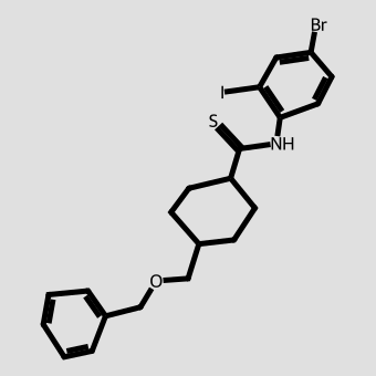 S=C(Nc1ccc(Br)cc1I)C1CCC(COCc2ccccc2)CC1